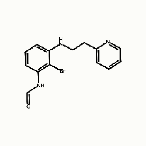 O=CNc1cccc(NCCc2ccccn2)c1Br